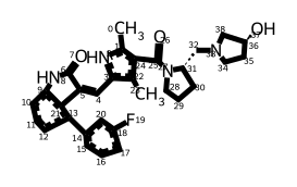 Cc1[nH]c(/C=C2\C(=O)Nc3cccc(-c4cccc(F)c4)c32)c(C)c1C(=O)N1CCC[C@H]1CN1CC[C@@H](O)C1